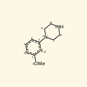 COc1nccc(N2CCNCC2)n1